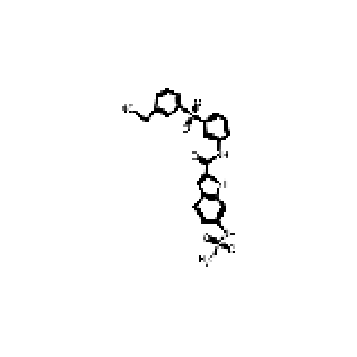 CS(=O)(=O)Nc1ccc2cc(C(=O)Nc3cccc(S(=O)(=O)c4cccc(CC#N)c4)c3)[nH]c2c1